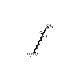 COCCC(=O)NCCCCCCCC(N)=O